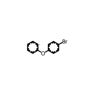 Brc1ccc(Oc2[c]cccc2)cc1